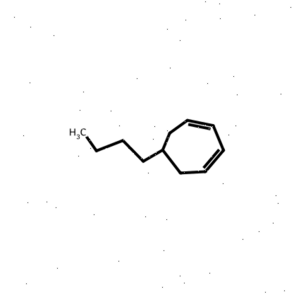 CCCCC1CC=CC=CC1